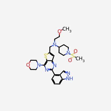 COCCN(Cc1cc2nc(-c3cccc4[nH]ncc34)nc(N3CCOCC3)c2s1)C1CCN(S(C)(=O)=O)CC1